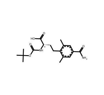 Cc1cc(C(N)=O)cc(C)c1CC[C@H](NC(=O)OC(C)(C)C)C(=O)O